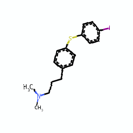 CN(C)CCCc1ccc(Sc2ccc(I)cc2)cc1